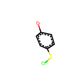 [O]c1ccc(SCl)cc1